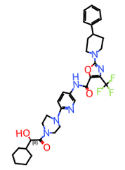 O=C(Nc1ccc(N2CCN(C(=O)[C@H](O)C3CCCCC3)CC2)nc1)c1oc(N2CCC(c3ccccc3)CC2)nc1C(F)(F)F